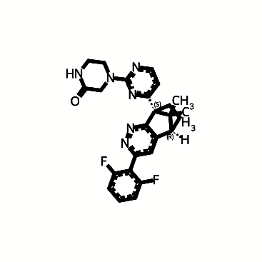 CC1(C)[C@H]2CC[C@]1(c1ccnc(N3CCNC(=O)C3)n1)c1nnc(-c3c(F)cccc3F)cc12